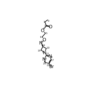 CCC(=O)OCCON=C1CN(c2ncc(Br)cn2)C1